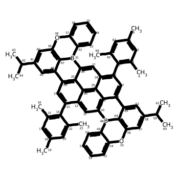 Cc1cc(C)c(-c2cc3c4c(cc5c(-c6c(C)cc(C)cc6C)cc6c7c(cc2c4c57)B2c4ccccc4Oc4cc(C(C)C)cc-6c42)B2c4ccccc4Oc4cc(C(C)C)cc-3c42)c(C)c1